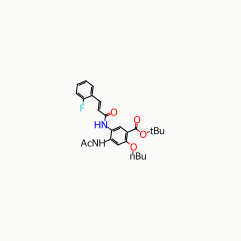 CCCCOc1cc(NC(C)=O)c(NC(=O)C=Cc2ccccc2F)cc1C(=O)OC(C)(C)C